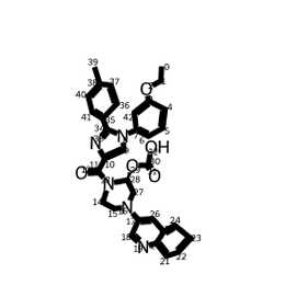 CCOc1cccc(-n2cc(C(=O)N3CCN(c4cnc5ccccc5c4)C[C@@H]3OC(=O)O)nc2-c2ccc(C)cc2)c1